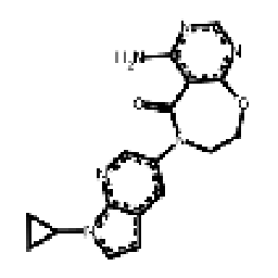 Nc1ncnc2c1C(=O)N(c1cnc3c(ccn3C3CC3)c1)CCO2